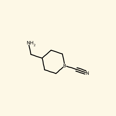 N#CB1CCC(CN)CC1